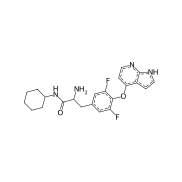 NC(Cc1cc(F)c(Oc2ccnc3[nH]ccc23)c(F)c1)C(=O)NC1CCCCC1